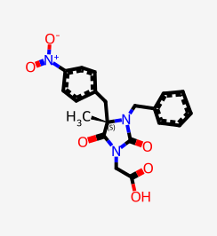 C[C@]1(Cc2ccc([N+](=O)[O-])cc2)C(=O)N(CC(=O)O)C(=O)N1Cc1ccccc1